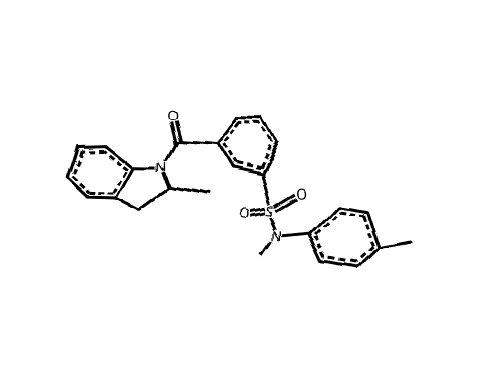 Cc1ccc(N(C)S(=O)(=O)c2cccc(C(=O)N3c4ccccc4CC3C)c2)cc1